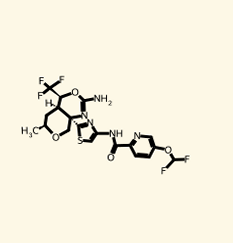 C[C@H]1C[C@H]2[C@@H](C(F)(F)F)OC(N)=N[C@@]2(c2nc(NC(=O)c3ccc(OC(F)F)cn3)cs2)CO1